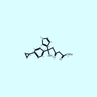 COC(=O)CC(=O)CC(N)(c1ccc(C2CC2)cc1)c1ccsc1